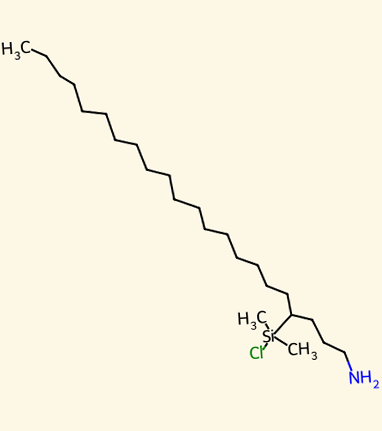 CCCCCCCCCCCCCCCCCCC(CCCN)[Si](C)(C)Cl